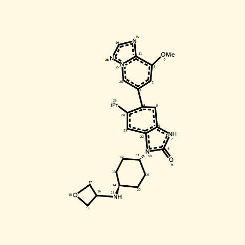 COc1cc(-c2cc3[nH]c(=O)n([C@H]4CC[C@H](NC5COC5)CC4)c3cc2C(C)C)cn2ncnc12